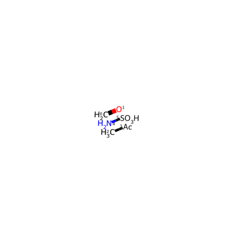 C=O.CC(C)=O.NS(=O)(=O)O